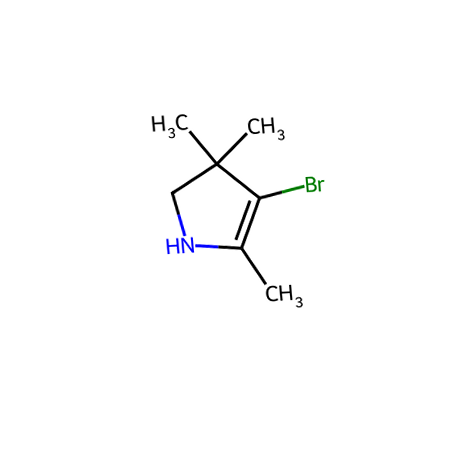 CC1=C(Br)C(C)(C)CN1